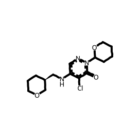 O=c1c(Cl)c(NC[C@@H]2CCCOC2)cnn1C1CCCCO1